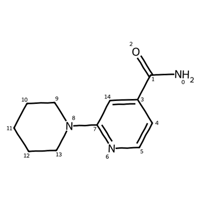 NC(=O)c1ccnc(N2CCCCC2)c1